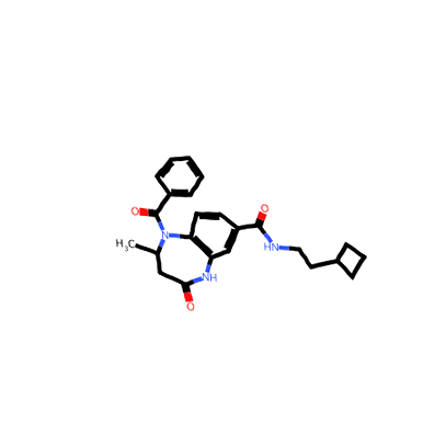 CC1CC(=O)Nc2cc(C(=O)NCCC3CCC3)ccc2N1C(=O)c1ccccc1